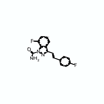 NC(=O)n1nc(C=Cc2ccc(F)cc2)c2c[c]cc(F)c21